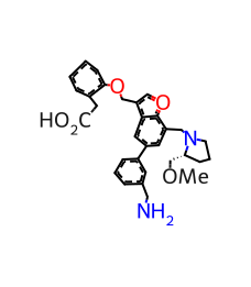 COC[C@H]1CCCN1Cc1cc(-c2cccc(CN)c2)cc2c(COc3ccccc3CC(=O)O)coc12